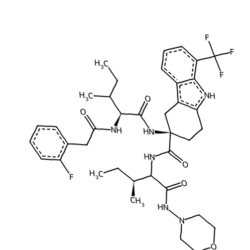 CCC(C)[C@H](NC(=O)Cc1ccccc1F)C(=O)N[C@]1(C(=O)NC(C(=O)NN2CCOCC2)[C@@H](C)CC)CCc2[nH]c3c(C(F)(F)F)cccc3c2C1